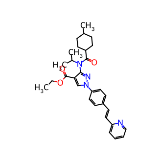 CCOC(=O)c1cn(-c2ccc(C=Cc3ccccn3)cc2)nc1N(C(=O)C1CCC(C)CC1)C(C)C